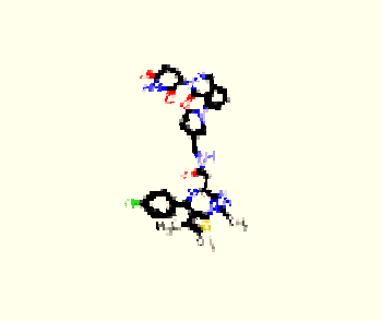 Cc1sc2c(c1C)C(c1ccc(Cl)cc1)=N[C@@H](CC(=O)NCC1CCN(c3cccc4cnn(C5CCC(=O)NC5=O)c(=O)c34)C1)c1nnc(C)n1-2